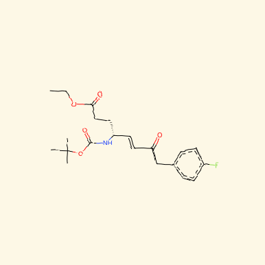 CCOC(=O)CC[C@H](/C=C/C(=O)Cc1ccc(F)cc1)NC(=O)OC(C)(C)C